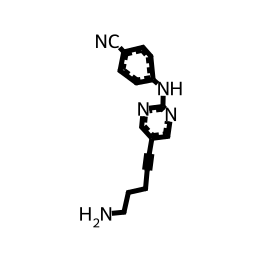 N#Cc1ccc(Nc2ncc(C#CCCCN)cn2)cc1